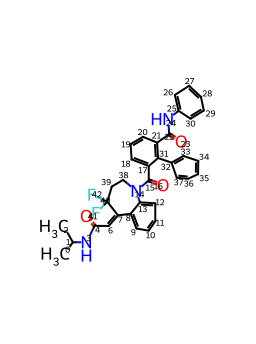 CC(C)NC(=O)C=C1c2ccccc2N(C(=O)c2cccc(C(=O)Nc3ccccc3)c2-c2ccccc2)CCC1(F)F